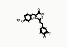 COc1ccc(CC(NC(=O)CCc2ccc(Cl)c(Cl)c2)C(=O)O)cc1